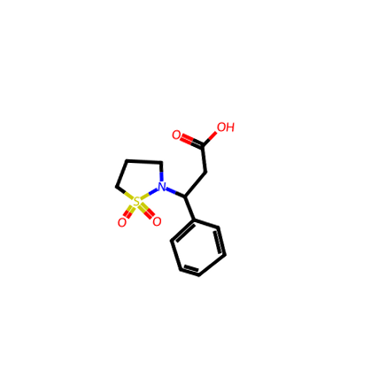 O=C(O)CC(c1ccccc1)N1CCCS1(=O)=O